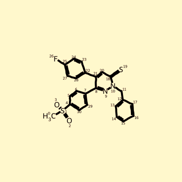 CS(=O)(=O)c1ccc(-c2nn(Cc3ccccc3)c(=S)cc2-c2ccc(F)cc2)cc1